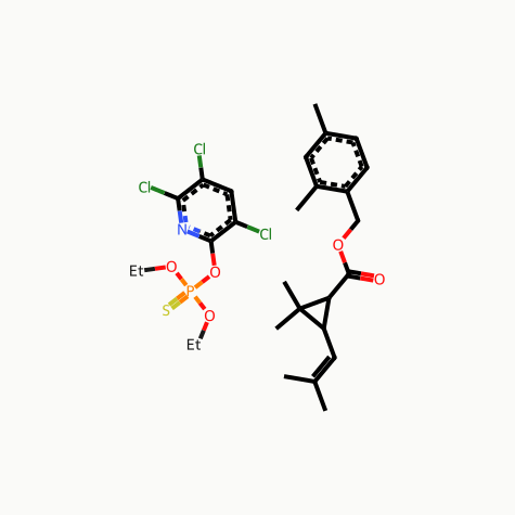 CC(C)=CC1C(C(=O)OCc2ccc(C)cc2C)C1(C)C.CCOP(=S)(OCC)Oc1nc(Cl)c(Cl)cc1Cl